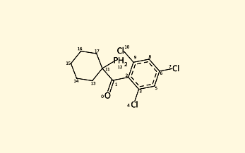 O=C(c1c(Cl)cc(Cl)cc1Cl)C1(P)CCCCC1